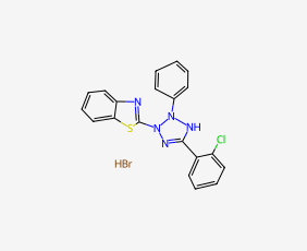 Br.Clc1ccccc1C1=NN(c2nc3ccccc3s2)N(c2ccccc2)N1